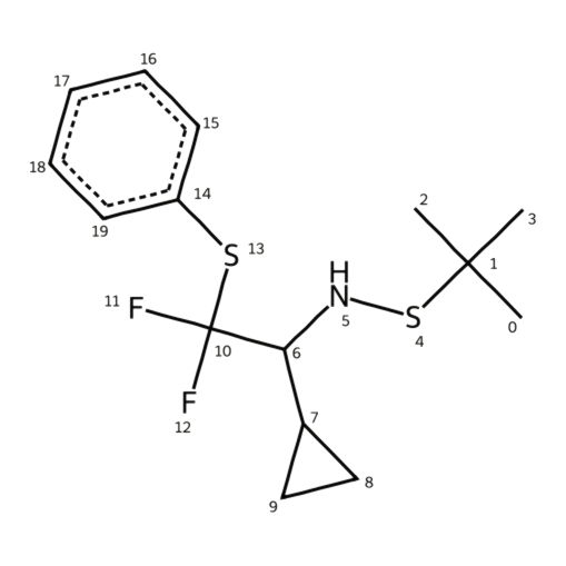 CC(C)(C)SNC(C1CC1)C(F)(F)Sc1ccccc1